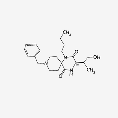 CCCCN1C(=O)[C@@H](C(C)CO)NC(=O)C12CCN(Cc1ccccc1)CC2